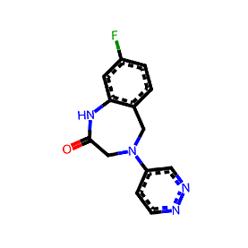 O=C1CN(c2ccnnc2)Cc2ccc(F)cc2N1